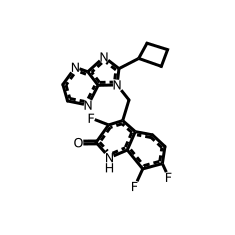 O=c1[nH]c2c(F)c(F)ccc2c(Cn2c(C3CCC3)nc3nccnc32)c1F